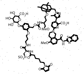 COCC(CCOC12CC3(C)CC(C)(CC(Cn4ncc(-c5ccc(N6CCc7c(OC)ccc(C(=O)Nc8nc9ccccc9s8)c7C6)nc5C(=O)O)c4C)(C3)C1)C2)NC(=O)OCc1ccc(O[C@@H]2O[C@H](C(=O)O)[C@@H](O)[C@H](O)[C@H]2O)cc1OCCCNC(=O)[C@H](CS(=O)(=O)O)NC(=O)CCCCCN1C(=O)C=CC1=O